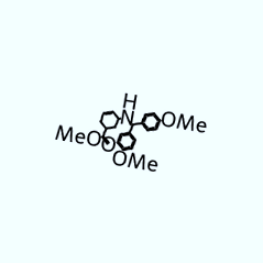 COC(=O)C1CC=CC(NC(c2ccc(OC)cc2)c2ccc(OC)cc2)C1